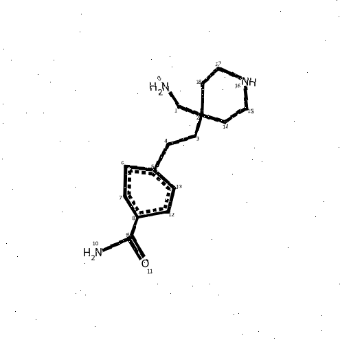 NCC1(CCc2ccc(C(N)=O)cc2)CCNCC1